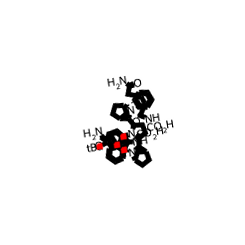 CC(C)(C)c1ccc(N2C(C3C4CCC(C4)N3[C@@]3(C(=O)NC(=O)O)c4ccc(cc4)[C@]3(C)CC(N)=O)CCC2C2C3CCC(C3)N2[C@@]2(C(=O)NC(=O)O)c3ccc(cc3)[C@]2(C)CC(N)=O)cc1